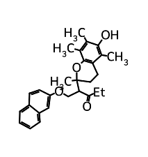 CCC(=O)C(COc1ccc2ccccc2c1)C1(C)CCc2c(C)c(O)c(C)c(C)c2O1